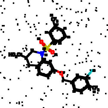 O=C(O)C1Cc2ccc(OCc3ccc(C(F)(F)F)c(F)c3)cc2N(S(=O)(=O)c2cccc(C(F)(F)F)c2)C1